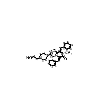 Cn1c(=O)/c(=C/c2ccccc2)n(CC(=O)N2CCN(CCO)CC2)c(=O)/c1=C/c1ccccc1